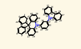 C1=CCC(C2(c3ccccc3)c3ccccc3N(c3cccc(-n4c5ccccc5c5ccccc54)c3)c3ccccc32)C=C1